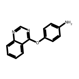 Nc1ccc(Oc2ncnc3ccccc23)cc1